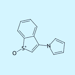 [O-][s+]1cc(-n2cccc2)c2ccccc21